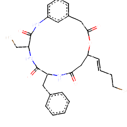 O=C1CC(/C=C/CCS)OC(=O)Cc2cccc(c2)NC(=O)C(CS)NC(=O)C(Cc2ccccc2)N1